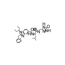 CCC(CC)n1c(Cc2cccs2)nc2cc(C(O)N[C@@H](CC(C)C)C(=O)N(C)Cc3n[nH]c(=O)[nH]3)ccc21